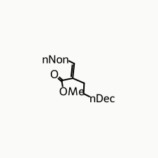 CCCCCCCCCC=C(CCCCCCCCCCCC)C(=O)OC